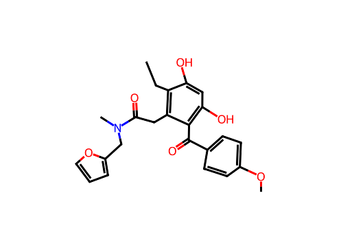 CCc1c(O)cc(O)c(C(=O)c2ccc(OC)cc2)c1CC(=O)N(C)Cc1ccco1